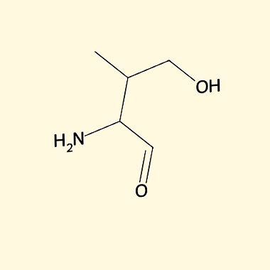 CC(CO)C(N)C=O